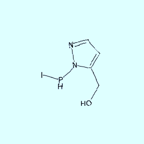 OCc1ccnn1PI